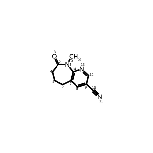 CN1C(=O)CCCc2cc(C#N)cnc21